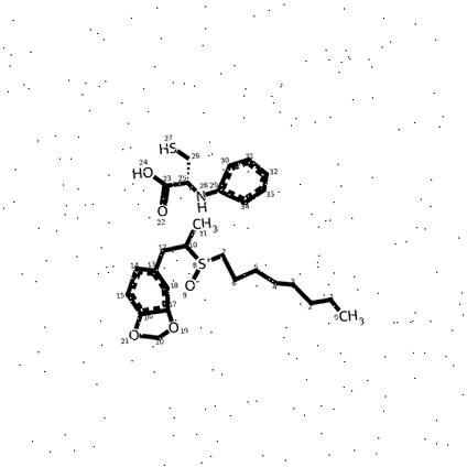 CCCCCCCC[S+]([O-])C(C)Cc1ccc2c(c1)OCO2.O=C(O)[C@H](CS)Nc1ccccc1